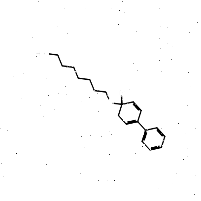 CCCCCCCCOC1(Br)C=CC(c2ccccc2)=CC1